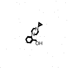 OCC1=C[CH]CC=C1N1CCN(C2CC2)CC1